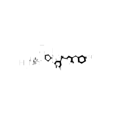 NS(=O)(=O)OC[C@H]1C[C@@H](Nc2ncncc2C(=O)c2cc(Cc3cccc(Br)c3)c(Cl)s2)C[C@@H]1O